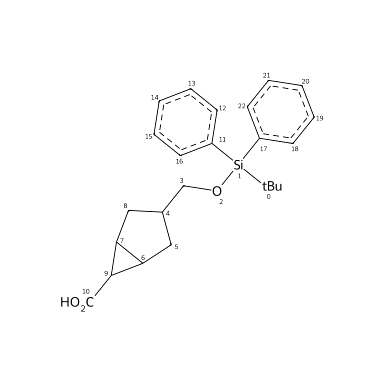 CC(C)(C)[Si](OCC1CC2C(C1)C2C(=O)O)(c1ccccc1)c1ccccc1